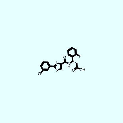 O=C(O)C[C@H](NC(=O)c1csc(-c2cccc(Cl)c2)n1)c1ccccc1F